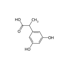 CC(C(=O)O)c1cc(O)cc(O)c1